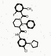 Cc1cccc(F)c1C(=O)N1CCCC(C(=O)Nc2ccc(Cl)c(N3CCCC3)c2)[C@@H]1c1ccccc1